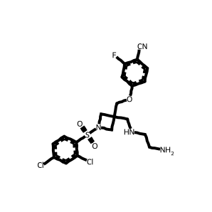 N#Cc1ccc(OCC2(CNCCN)CN(S(=O)(=O)c3ccc(Cl)cc3Cl)C2)cc1F